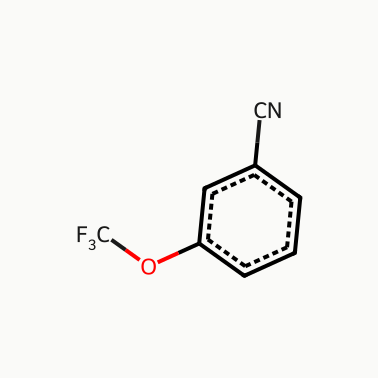 N#Cc1cccc(OC(F)(F)F)c1